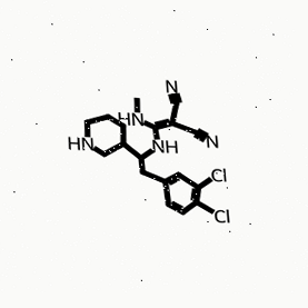 CNC(NC(Cc1ccc(Cl)c(Cl)c1)C1CCCNC1)=C(C#N)C#N